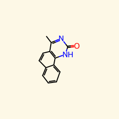 Cc1nc(=O)[nH]c2c1ccc1ccccc12